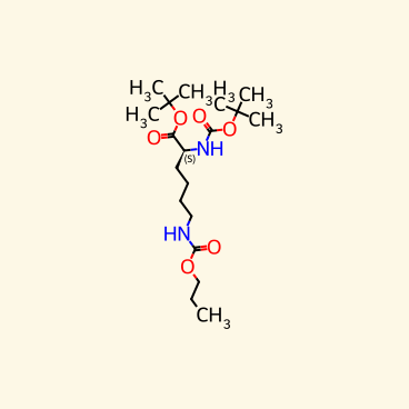 CCCOC(=O)NCCCC[C@H](NC(=O)OC(C)(C)C)C(=O)OC(C)(C)C